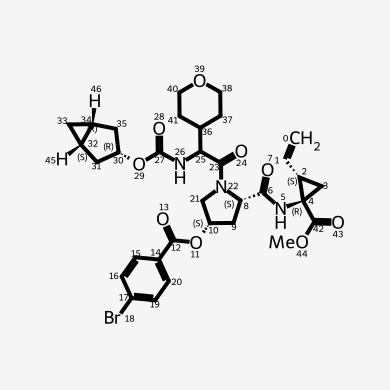 C=C[C@@H]1C[C@]1(NC(=O)[C@@H]1C[C@H](OC(=O)c2ccc(Br)cc2)CN1C(=O)C(NC(=O)O[C@@H]1C[C@@H]2C[C@@H]2C1)C1CCOCC1)C(=O)OC